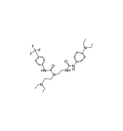 CCN(CC)CCN(CCNC(=O)Nc1ccc(N(CC)CC)cc1)C(=O)Nc1ccc(C(F)(F)F)cc1